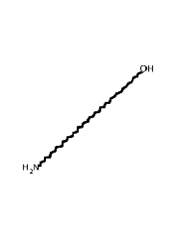 NCCCCCCCCCCCCCCCCCCCCCCCCCCCCCCCCCCCCCCCO